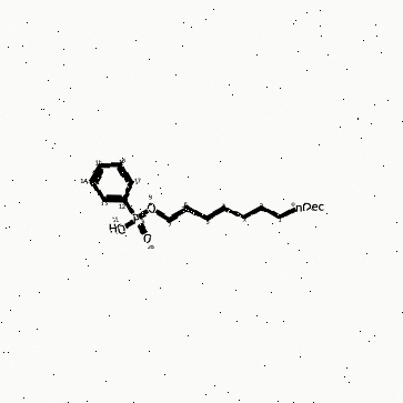 CCCCCCCCCCCCCCCCCOP(=O)(O)c1ccccc1